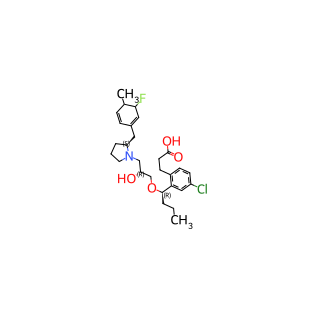 CCC[C@@H](OC[C@H](O)CN1CCC[C@H]1CC1=CC(F)C(C)C=C1)c1cc(Cl)ccc1CCC(=O)O